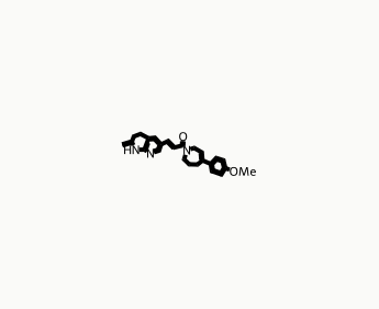 C=C1CCc2cc(/C=C/C(=O)N3CC=C(c4ccc(OC)cc4)CCC3)cnc2N1